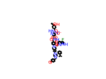 C#CC1(O)CCC(CNc2ncc(S(=O)(=O)NC(=O)c3ccc(N4CCC5(CC4)CC(N4CCN(Cc6ccc(OC)cc6)C[C@H]4c4ccccc4C(C)C)C5)cc3Oc3cc4c(F)c[nH]c4nc3OC)cc2[N+](=O)[O-])CC1